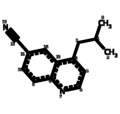 CC(C)Cc1ccnc2ccc(C#N)cc12